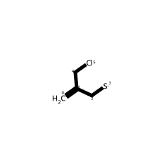 C=C(C[S])CCl